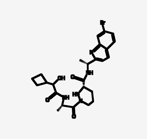 C[C@H](NC(=O)C(O)C1CCC1)C(=O)N1CCC[C@@H](C(=O)N[C@H](C)c2ccc3ccc(Br)cc3n2)N1